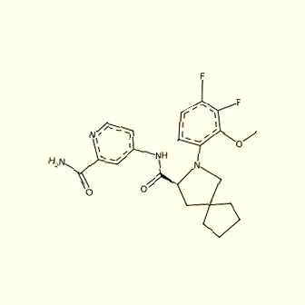 COc1c(N2CC3(CCCC3)C[C@H]2C(=O)Nc2ccnc(C(N)=O)c2)ccc(F)c1F